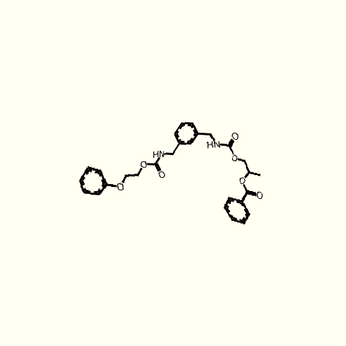 CC(COC(=O)NCc1cccc(CNC(=O)OCCOc2ccccc2)c1)OC(=O)c1ccccc1